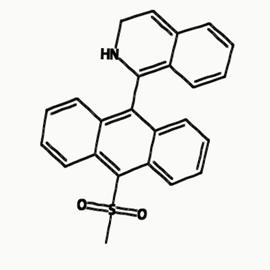 CS(=O)(=O)c1c2ccccc2c(C2=c3ccccc3=CCN2)c2ccccc12